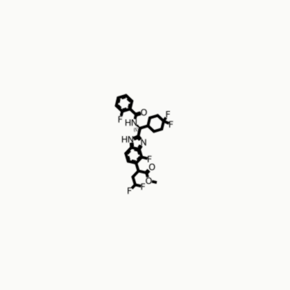 COC(=O)C(CC(F)F)c1ccc2[nH]c([C@@H](NC(=O)c3ccccc3F)C3CCC(F)(F)CC3)nc2c1F